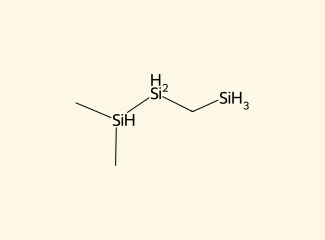 C[SiH](C)[SiH2]C[SiH3]